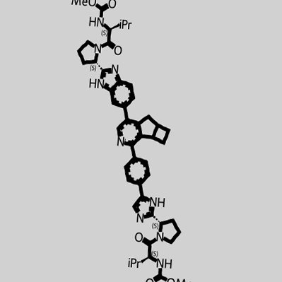 COC(=O)N[C@H](C(=O)N1CCC[C@H]1c1ncc(-c2ccc(-c3ncc(-c4ccc5nc([C@@H]6CCCN6C(=O)[C@@H](NC(=O)OC)C(C)C)[nH]c5c4)c4c3C3CCC3C4)cc2)[nH]1)C(C)C